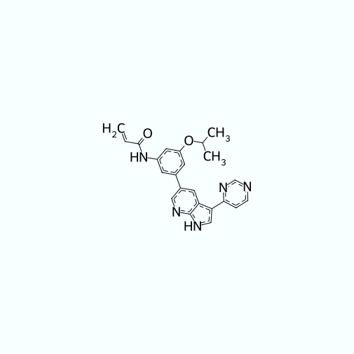 C=CC(=O)Nc1cc(OC(C)C)cc(-c2cnc3[nH]cc(-c4ccncn4)c3c2)c1